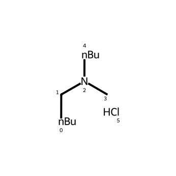 CCCCCN(C)CCCC.Cl